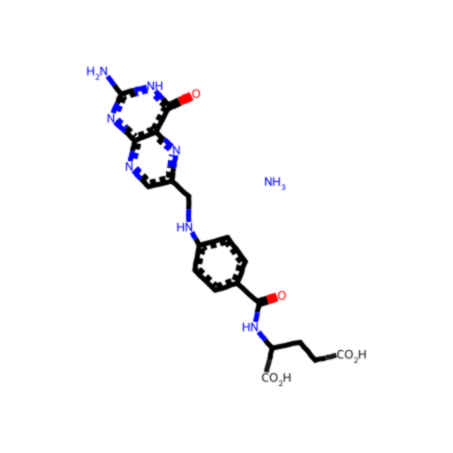 N.Nc1nc2ncc(CNc3ccc(C(=O)NC(CCC(=O)O)C(=O)O)cc3)nc2c(=O)[nH]1